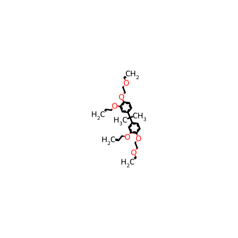 C=CCOc1cc(C(C)(C)c2ccc(OCCOC=C)c(OCC=C)c2)ccc1OCCOC=C